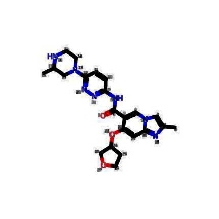 Cc1cn2cc(C(=O)Nc3ccc(N4CCNC(C)C4)nn3)c(OC3CCOC3)cc2n1